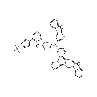 CC(C)(C)c1ccc(-c2cccc3c2oc2ccc(N(c4ccc5oc6ccccc6c5c4)c4ccc5c(c4)c4ccccc4c4cc6c(cc54)oc4ccccc46)cc23)cc1